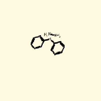 NN.c1ccc(Sc2ccccc2)cc1